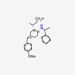 COc1ccc(C[C@@H]2CC[C@@H](NC(C)c3ccccc3)[C@@H](C(C)CC(=O)O)C2)cc1